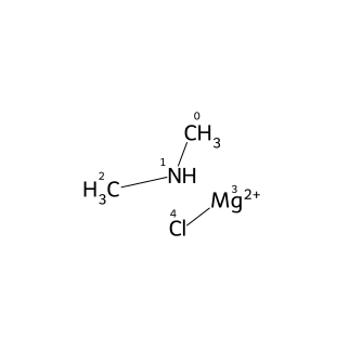 CNC.[Mg+2][Cl]